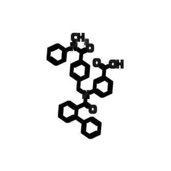 CN(C(=O)c1ccc(CN(C(=O)c2ccccc2-c2ccccc2)c2cccc(C(=O)O)c2)cc1)c1ccccc1